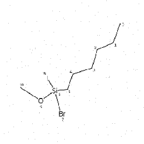 CCCCCC[Si](Br)(I)OC